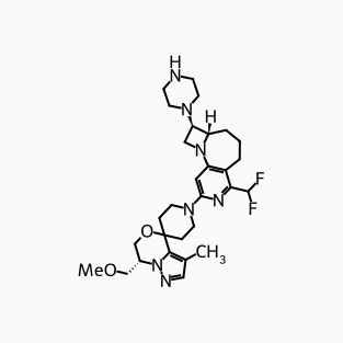 COC[C@@H]1COC2(CCN(c3cc4c(c(C(F)F)n3)CCC[C@H]3[C@H](N5CCNCC5)CN43)CC2)c2c(C)cnn21